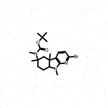 CN1c2nc(Br)ccc2C2(C)CC(C)(N(C)C(=O)OC(C)(C)C)CCC12